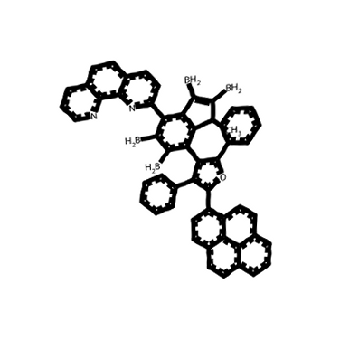 BC1=C(B)C(C)c2c1c(-c1ccc3ccc4cccnc4c3n1)c(B)c(B)c2-c1c(-c2ccccc2)oc(-c2ccc3ccc4cccc5ccc2c3c45)c1-c1ccccc1